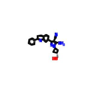 N#Cc1c(-c2ccc3ccc(-c4ccccc4)nc3c2)nn([C@H]2C[C@@H](CO)C2)c1N